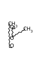 CCCCCCCCC(CCCC1CCO1)OC(CCCCCCCC)CCCC1CCO1